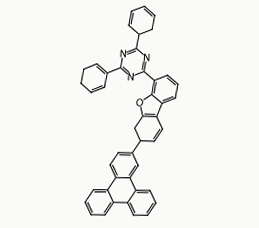 C1=CCC(c2nc(C3=CCCC=C3)nc(-c3cccc4c5c(oc34)CC(c3ccc4c6ccccc6c6ccccc6c4c3)C=C5)n2)C=C1